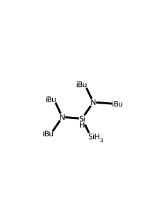 CCC(C)N(C(C)CC)[SiH]([SiH3])N(C(C)CC)C(C)CC